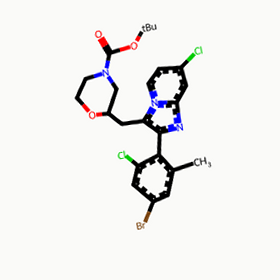 Cc1cc(Br)cc(Cl)c1-c1nc2cc(Cl)ccn2c1CC1CN(C(=O)OC(C)(C)C)CCO1